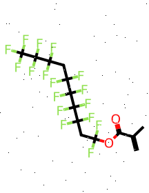 C=C(C)C(=O)OC(F)(F)CC(F)(F)C(F)(F)C(F)(F)C(F)(F)CC(F)(F)C(F)(F)C(F)(F)F